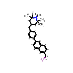 CN1C(C)(C)CC(Cc2ccc(-c3ccc4cc(CP)ccc4c3)cc2)CC1(C)C